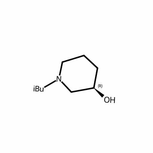 CCC(C)N1CCC[C@@H](O)C1